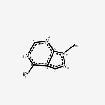 CC(C)c1ncnc2c1cnn2C